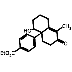 CCOC(=O)c1ccc([C@]23CCC(=O)C(C)=C2CCC[C@@H]3O)cc1